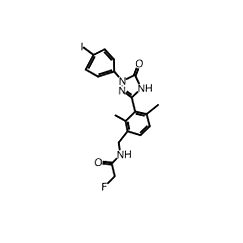 Cc1ccc(CNC(=O)CF)c(C)c1-c1nn(-c2ccc(I)cc2)c(=O)[nH]1